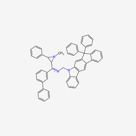 CN1C(/C(=N\Cn2c3ccccc3c3cc4c(cc32)C(c2ccccc2)(c2ccccc2)c2ccccc2-4)c2cccc(-c3ccccc3)c2)C1c1ccccc1